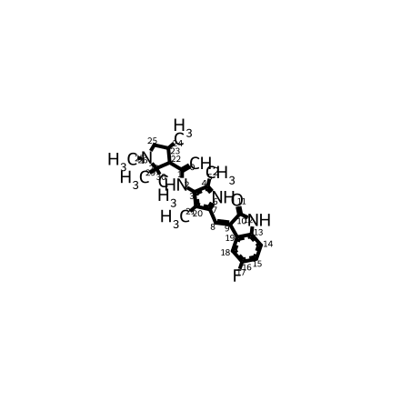 C=C(Nc1c(C)[nH]c(/C=C2\C(=O)Nc3ccc(F)cc32)c1C)C1C(C)CN(C)C1(C)C